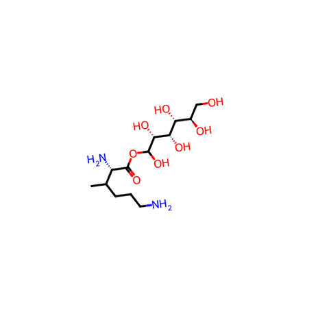 CC(CCCN)[C@H](N)C(=O)OC(O)[C@H](O)[C@@H](O)[C@H](O)[C@H](O)CO